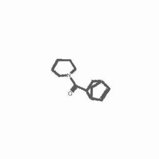 O=C(C1CC2C=CC1C2)N1CCCCC1